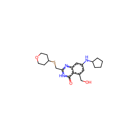 O=c1[nH]c(CSC2CCOCC2)nc2cc(NC3CCCC3)cc(CO)c12